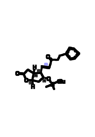 CC(C)(C)[Si](C)(C)O[C@@H]1C[C@@H]2OC(=O)C[C@@H]2[C@H]1/C=C/C(=O)CCc1ccccc1